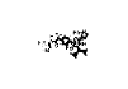 CC(C)n1nccc1C(=O)N[C@H](C(=O)Nc1ccc([C@H](C)C(=O)N[C@H](CO)C(F)(F)F)cc1F)C(C1CC1)C1CC1